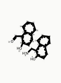 NCc1c(O)ccc2ccccc12.O=Cc1c(O)ccc2ccccc12